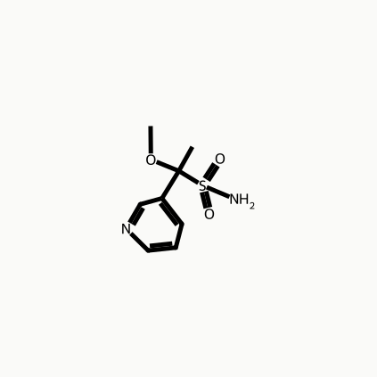 COC(C)(c1cccnc1)S(N)(=O)=O